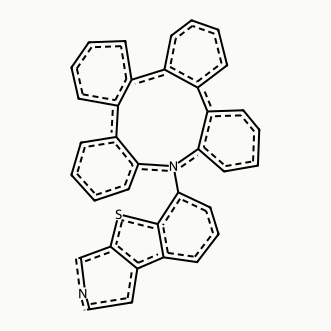 c1cc(-n2c3ccccc3c3ccccc3c3ccccc3c3ccccc32)c2sc3cnccc3c2c1